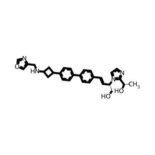 C[C@H](O)c1nccn1[C@@H](/C=C/c1ccc(-c2ccc(C3CC(NCc4cocn4)C3)cc2)cc1)CO